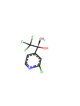 C[C@@](O)(c1ccnc(Cl)c1)C(F)(F)F